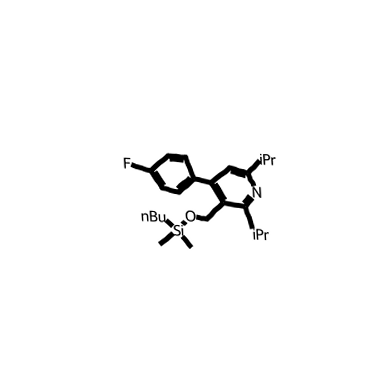 CCCC[Si](C)(C)OCc1c(-c2ccc(F)cc2)cc(C(C)C)nc1C(C)C